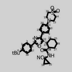 CC(C)(C)c1ccc(-c2nc(-c3ccc(N4CCS(=O)(=O)CC4)cc3)c([C@@H]3CCCC[C@H]3C(=O)NC3(C#N)CC3)o2)cc1